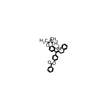 CC(Oc1ccc(C(=C2CCc3ccccc3N2)c2ccc(OC(=O)c3ccccc3)cc2)cc1)N(C)C